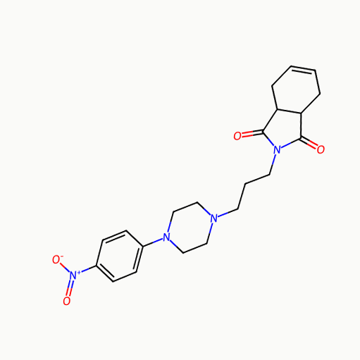 O=C1C2CC=CCC2C(=O)N1CCCN1CCN(c2ccc([N+](=O)[O-])cc2)CC1